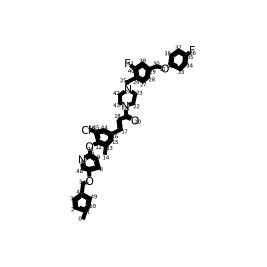 Cc1ccc(COc2ccc(Oc3c(C)cc(/C=C/C(=O)N4CCN(Cc5ccc(COc6ccc(F)cc6)cc5F)CC4)cc3Cl)nc2)cc1